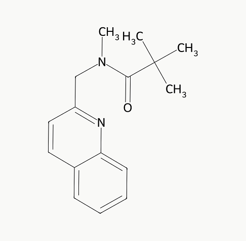 CN(Cc1ccc2ccccc2n1)C(=O)C(C)(C)C